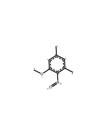 COc1cc(C)cc(C)c1N=O